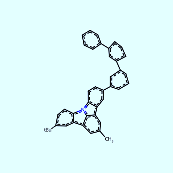 Cc1cc2c3cc(-c4cccc(-c5cccc(-c6ccccc6)c5)c4)ccc3n3c4ccc(C(C)(C)C)cc4c(c1)c23